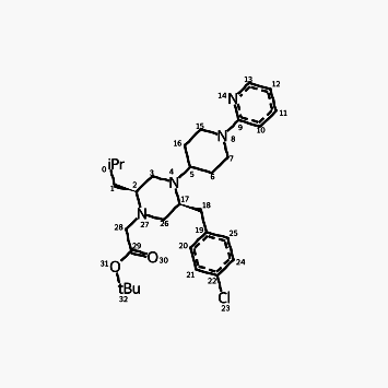 CC(C)C[C@H]1CN(C2CCN(c3ccccn3)CC2)[C@@H](Cc2ccc(Cl)cc2)CN1CC(=O)OC(C)(C)C